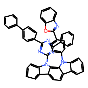 c1ccc(-c2ccc(-c3nc(-c4ccccc4)nc(-n4c5ccccc5c5ccc6c7ccccc7n(-c7ccc(-c8nc9ccccc9o8)cc7)c6c54)n3)cc2)cc1